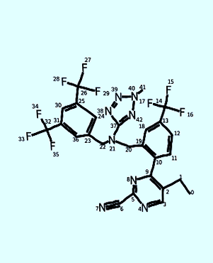 CCc1cnc(C#N)nc1-c1ccc(C(F)(F)F)cc1CN(Cc1cc(C(F)(F)F)cc(C(F)(F)F)c1)c1nnn(C)n1